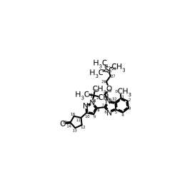 Cc1cccc2nc(-c3cc(C4CCC(=O)C4)nn3C(C)(C)C)n(COCC[Si](C)(C)C)c12